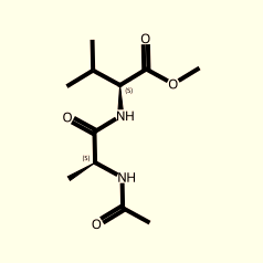 COC(=O)[C@@H](NC(=O)[C@H](C)NC(C)=O)C(C)C